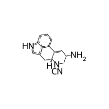 N#CN1CC(N)C=C2c3cccc4[nH]cc(c34)C[C@H]21